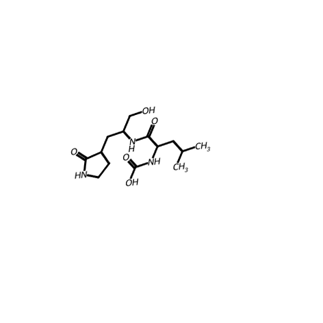 CC(C)CC(NC(=O)O)C(=O)NC(CO)CC1CCNC1=O